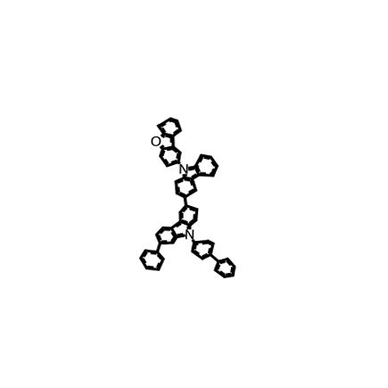 c1ccc(-c2ccc(-n3c4ccc(-c5ccc6c(c5)c5ccccc5n6-c5ccc6oc7ccccc7c6c5)cc4c4ccc(-c5ccccc5)cc43)cc2)cc1